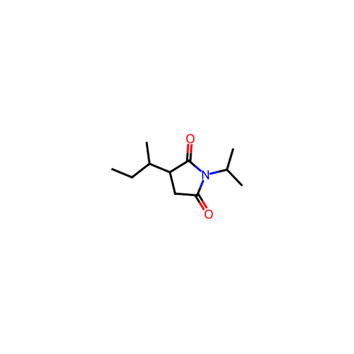 CCC(C)C1CC(=O)N(C(C)C)C1=O